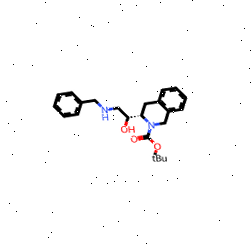 CC(C)(C)OC(=O)N1Cc2ccccc2C[C@H]1C(O)CNCc1ccccc1